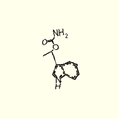 CC(OC(N)=O)c1c[nH]c2ccccc12